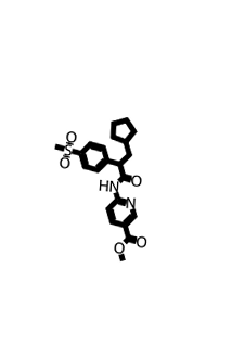 COC(=O)c1ccc(NC(=O)C(CC2CCCC2)c2ccc(S(C)(=O)=O)cc2)nc1